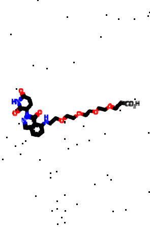 O=C(O)CCOCCOCCOCCOCCNc1cccc2cnn(C3CCC(=O)NC3=O)c(=O)c12